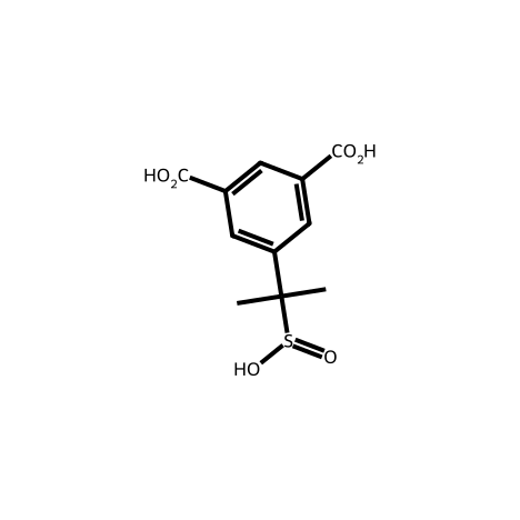 CC(C)(c1cc(C(=O)O)cc(C(=O)O)c1)S(=O)O